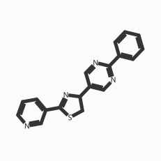 c1ccc(-c2ncc(C3CSC(c4cccnc4)=N3)cn2)cc1